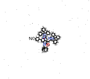 N#Cc1ccc(-c2ccc3c(c2)N(CC24CC5CC(CC(C5)C2)C4)C(=O)C3(Cc2cn(C(c3ccccc3)(c3ccccc3)c3ccccc3)cn2)Cc2cn(C(c3ccccc3)(c3ccccc3)c3ccccc3)cn2)cc1